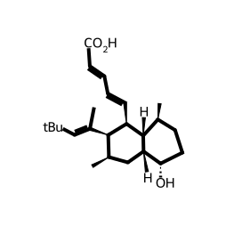 C/C(=C\C(C)(C)C)[C@H]1[C@@H](/C=C/C=C/C(=O)O)[C@H]2[C@@H](C[C@H]1C)[C@@H](O)CC[C@@H]2C